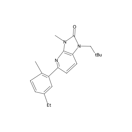 CCc1ccc(C)c(-c2ccc3c(n2)n(C)c(=O)n3CC(C)(C)C)c1